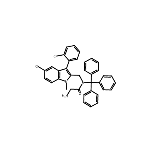 Cn1c(CN(C(=O)CN)C(c2ccccc2)(c2ccccc2)c2ccccc2)c(-c2ccccc2Cl)c2cc(Cl)ccc21